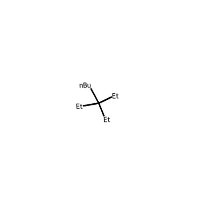 CCCCC(CC)(CC)CC